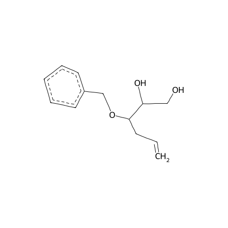 C=CCC(OCc1ccccc1)C(O)CO